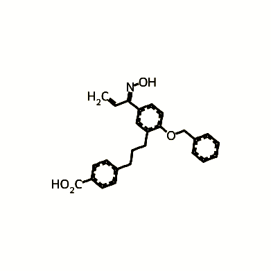 C=C/C(=N/O)c1ccc(OCc2ccccc2)c(CCCc2ccc(C(=O)O)cc2)c1